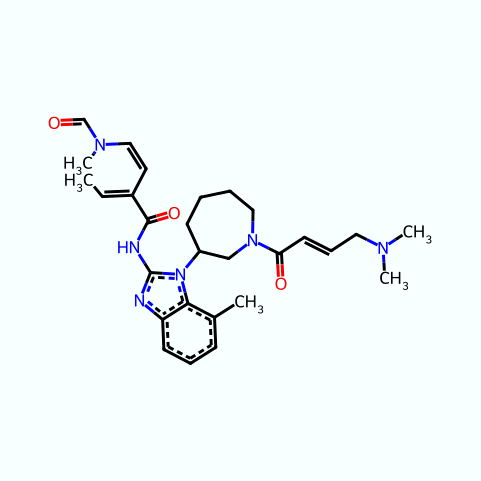 C/C=C(\C=C/N(C)C=O)C(=O)Nc1nc2cccc(C)c2n1C1CCCCN(C(=O)/C=C/CN(C)C)C1